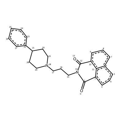 O=C1c2cccc3cccc(c23)C(=O)N1CCCN1CCC(c2ccccc2)CC1